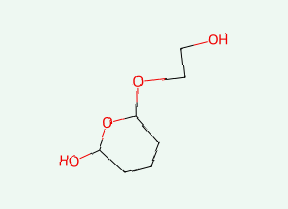 OCCOC1CCCC(O)O1